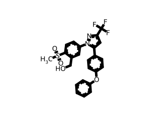 CS(=O)(=O)c1ccc(-n2nc(C(F)(F)F)cc2-c2ccc(Oc3ccccc3)cc2)cc1CO